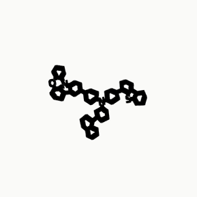 c1cc(-c2cccc3ccccc23)cc(N(c2ccc(-c3ccc4c(c3)c3cccc5c3n4-c3ccccc3O5)cc2)c2ccc(-c3cccc4c3sc3ccccc34)cc2)c1